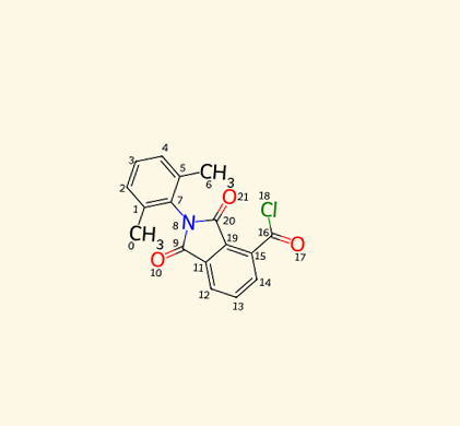 Cc1cccc(C)c1N1C(=O)c2cccc(C(=O)Cl)c2C1=O